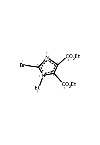 CCOC(=O)c1nc(Br)n(CC)c1C(=O)OCC